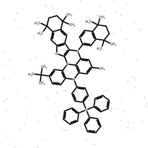 Cc1cc2c3c(c1)N(c1ccc4c(c1)C(C)(C)CCC4(C)C)c1c(oc4cc5c(cc14)C(C)(C)CCC5(C)C)B3c1cc(C(C)(C)C)ccc1N2c1ccc([Si](c2ccccc2)(c2ccccc2)c2ccccc2)cc1